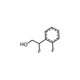 OCC(F)c1ccccc1F